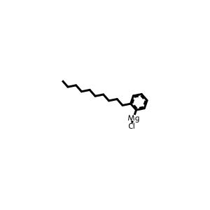 CCCCCCCCCCc1cccc[c]1[Mg][Cl]